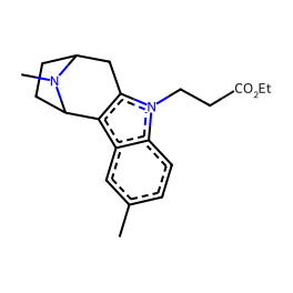 CCOC(=O)CCn1c2c(c3cc(C)ccc31)C1CCC(C2)N1C